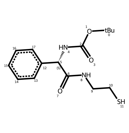 CC(C)(C)OC(=O)N[C@H](C(=O)NCCS)c1ccccc1